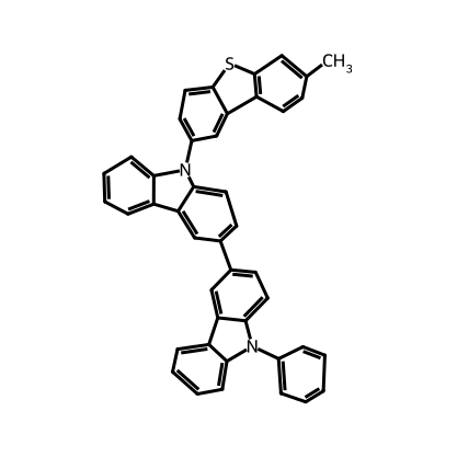 Cc1ccc2c(c1)sc1ccc(-n3c4ccccc4c4cc(-c5ccc6c(c5)c5ccccc5n6-c5ccccc5)ccc43)cc12